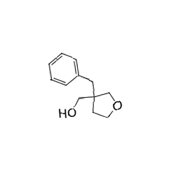 OCC1(Cc2ccccc2)CCOC1